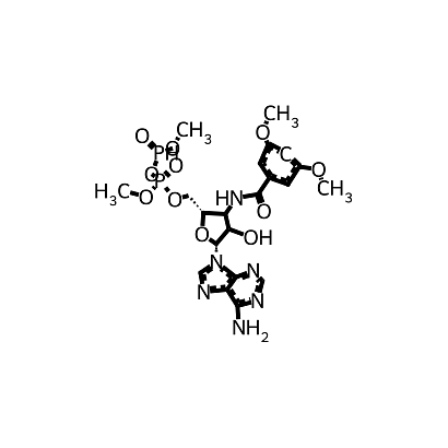 COc1cc(OC)cc(C(=O)NC2C(O)[C@H](n3cnc4c(N)ncnc43)O[C@@H]2COP(=O)(OC)O[PH](=O)OC)c1